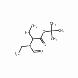 CCN([C]=O)C(NC)C(=O)OC(C)(C)C